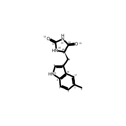 Cc1ccc2[nH]cc(C[C@H]3NC(=O)NC3=O)c2c1